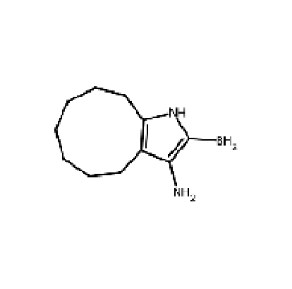 Bc1[nH]c2c(c1N)CCCCCCC2